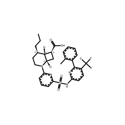 CCC[C@@H]1CCN(c2cccc(S(=O)(=O)Nc3ccc(C(F)(F)F)c(-c4ccccc4C)n3)n2)[C@H]2C[C@H](C(=O)O)[C@@H]12